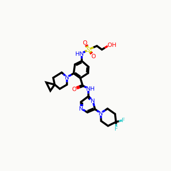 O=C(Nc1cncc(N2CCC(F)(F)CC2)n1)c1ccc(NS(=O)(=O)CCO)cc1N1CCC2(CC1)CC2